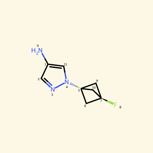 Nc1cnn([C@]23C[C@@](F)(C2)C3)c1